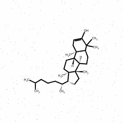 CC(C)CCC[C@@H](C)[C@H]1CC[C@@]2(C)[C@@H]3CCC4C(C)(C)C(O)=CC[C@]4(C)[C@H]3CC[C@]12C